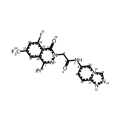 CC(C)c1nn(CC(=O)Nc2ccc3nncn3c2)c(=O)c2c(F)cc(C(F)(F)F)cc12